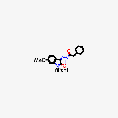 CCCCCN1C(=O)/C(=N\NC(=O)CC2CCCCC2)c2ccc(OC)cc21